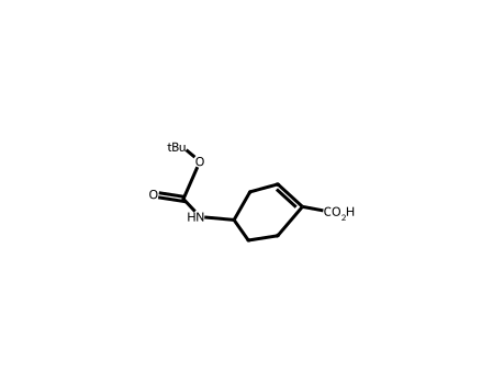 CC(C)(C)OC(=O)NC1CC=C(C(=O)O)CC1